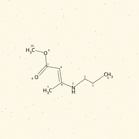 CCCNC(C)=CC(=O)OC